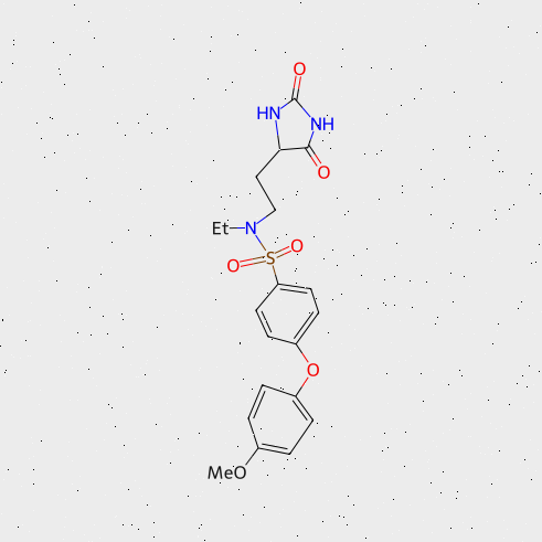 CCN(CCC1NC(=O)NC1=O)S(=O)(=O)c1ccc(Oc2ccc(OC)cc2)cc1